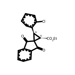 CCOC(=O)[C@H]1[C@H](c2ccccc2Cl)C12C(=O)c1ccccc1C2=O